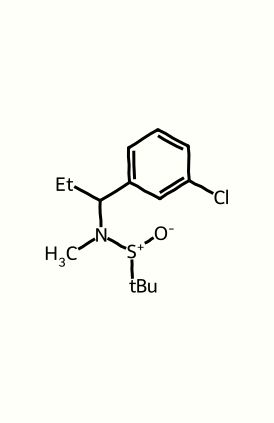 CCC(c1cccc(Cl)c1)N(C)[S+]([O-])C(C)(C)C